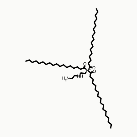 CCCCCCCCCCCCCCCCCC(=O)[N+](CCNCCN)(C(=O)CCCCCCCCCCCCCCCCC)C(=O)CCCCCCCCCCCCCCCCC